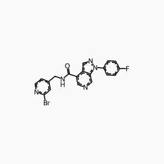 O=C(NCc1ccnc(Br)c1)c1cncc2c1cnn2-c1ccc(F)cc1